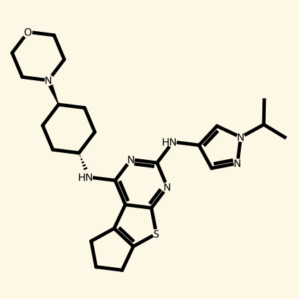 CC(C)n1cc(Nc2nc(N[C@H]3CC[C@H](N4CCOCC4)CC3)c3c4c(sc3n2)CCC4)cn1